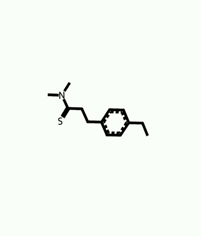 CCc1ccc(CCC(=S)N(C)C)cc1